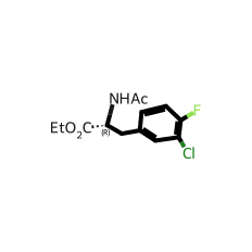 CCOC(=O)[C@@H](Cc1ccc(F)c(Cl)c1)NC(C)=O